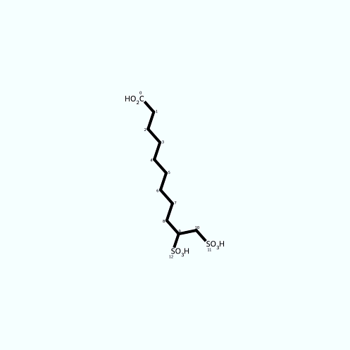 O=C(O)CCCCCCCCC(CS(=O)(=O)O)S(=O)(=O)O